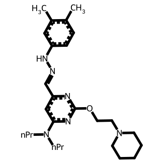 CCCN(CCC)c1cc(/C=N/Nc2ccc(C)c(C)c2)nc(OCCN2CCCCC2)n1